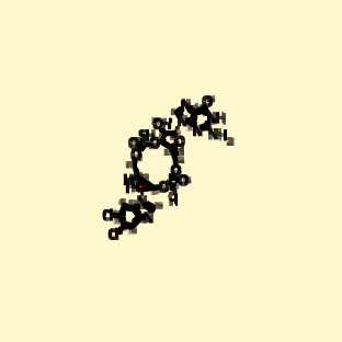 Nc1nc2c(ncn2[C@@H]2O[C@@H]3COP(=O)(S)OC4C(O)[C@@H](COP(=O)(S)OC3C2O)O[C@H]4n2cnc3cc(Cl)c(Cl)cc32)c(=O)[nH]1